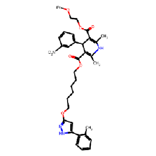 CC1=C(C(=O)OCCCCCCOc2cc(-c3ccccc3C)[nH]n2)C(c2cccc([N+](=O)[O-])c2)C(C(=O)OCCOC(C)C)=C(C)N1